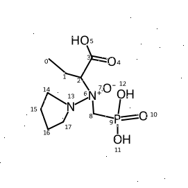 CCC(C(=O)O)[N+]([O-])(CP(=O)(O)O)N1CCCC1